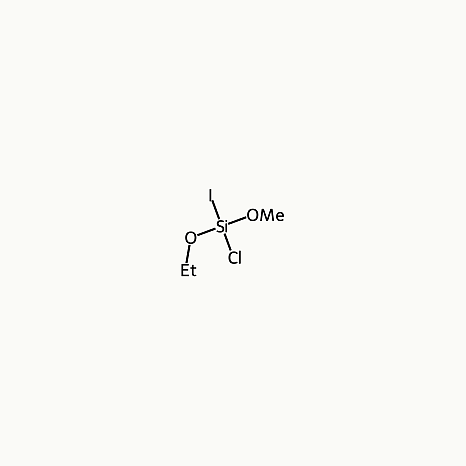 CCO[Si](Cl)(I)OC